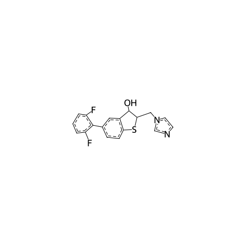 OC1c2cc(-c3c(F)cccc3F)ccc2SC1Cn1ccnc1